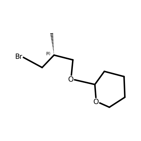 C[C@@H](CBr)COC1CCCCO1